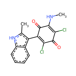 CNC1=C(Cl)C(=O)C(Cl)=C(c2c(C)[nH]c3ccccc23)C1=O